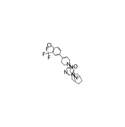 O=C(CN1CC2CCC(C1)N2c1cncnc1)N1CC=C(c2ccc(Cl)c(C(F)(F)F)c2)CC1